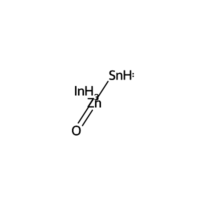 [InH3].[O]=[Zn][SnH]